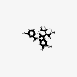 CCC(C)[C@@H](C(=O)O)c1c(C)n(C(=O)c2cccc(F)c2)c2cc(F)c(O)cc12